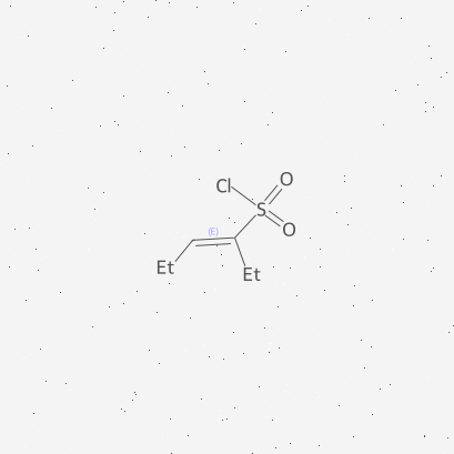 CC/C=C(\CC)S(=O)(=O)Cl